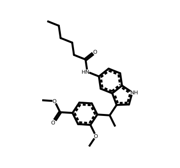 CCCCCC(=O)Nc1ccc2[nH]cc(C(C)c3ccc(C(=O)OC)cc3OC)c2c1